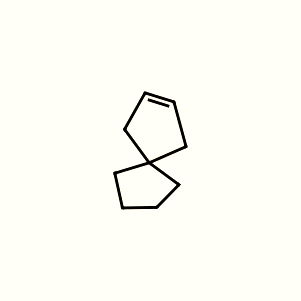 C1=CCC2(C1)CCCC2